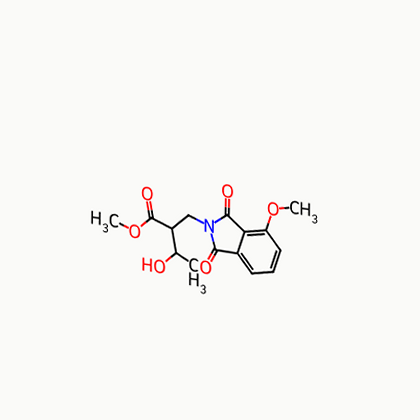 COC(=O)C(CN1C(=O)c2cccc(OC)c2C1=O)C(C)O